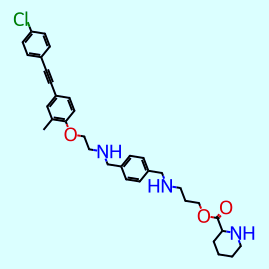 Cc1cc(C#Cc2ccc(Cl)cc2)ccc1OCCNCc1ccc(CNCCCOC(=O)C2CCCCN2)cc1